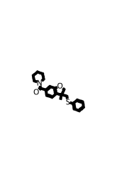 CC1(CSc2ccccc2)COc2cc(C(=O)N3CCCCC3)ccc21